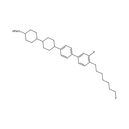 CCCCCC1CCC(C2CCC(c3ccc(-c4ccc(CCCCCCCF)c(F)c4)cc3)CC2)CC1